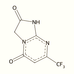 O=C1Cn2c(nc(C(F)(F)F)cc2=O)N1